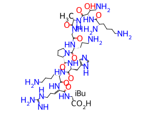 CC[C@H](C)[C@H](NC(=O)/C(=C/CCNC(=N)N)NC(=O)[C@H](CCCCN)NC(=O)[C@H](Cc1cnc[nH]1)NC(=O)[C@@H]1CCCN1C(=O)[C@@H](CCCN)NC(=O)CNC(=O)[C@H](C)NC(=O)[C@@H](NC(=O)[C@@H](N)CCCCN)[C@@H](O)CN)C(=O)O